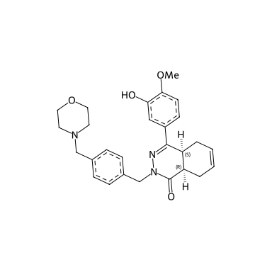 COc1ccc(C2=NN(Cc3ccc(CN4CCOCC4)cc3)C(=O)[C@@H]3CC=CC[C@H]23)cc1O